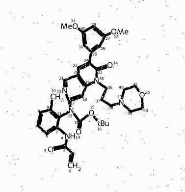 C=CC(=O)Nc1cccc(C)c1N(C(=O)OC(C)(C)C)c1cc2c(cn1)cc(-c1cc(OC)cc(OC)c1)c(=O)n2CCCN1CCOCC1